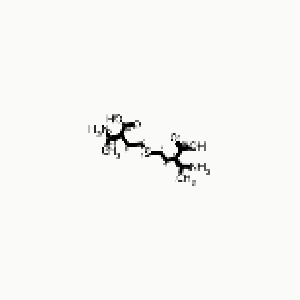 C/C(N)=C(\CCSCC/C(C(=O)O)=C(\C)N)C(=O)O